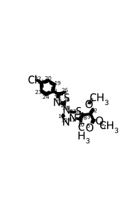 CO/C=C(/C(=O)OC)C1=C(C)N2N=CN(c3nc(-c4ccc(Cl)cc4)cs3)C2S1